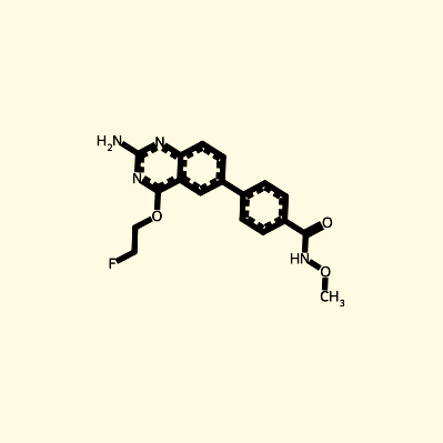 CONC(=O)c1ccc(-c2ccc3nc(N)nc(OCCF)c3c2)cc1